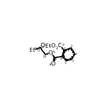 CCOC(=O)c1ccccc1C(=O)OCC(=O)CC